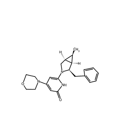 C[C@@H]1[C@@H]2CN(c3cc(N4CCOCC4)cc(=O)[nH]3)[C@H](Cc3ccccc3)[C@H]12